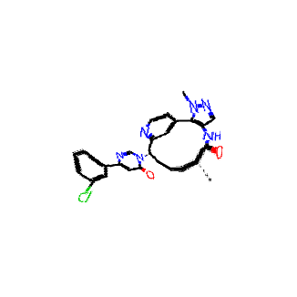 C[C@@H]1CCC[C@H](n2cnc(-c3cccc(Cl)c3)cc2=O)c2cc(ccn2)-c2c(cnn2C)NC1=O